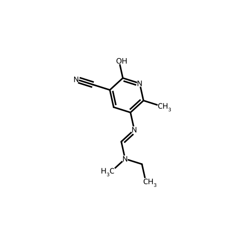 CCN(C)C=Nc1cc(C#N)c(O)nc1C